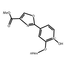 CCCCCCOc1cc(-c2nc(C(=O)OC)co2)cc[n+]1O